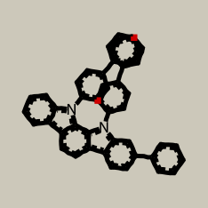 c1ccc(-c2ccc(-n3c4ccccc4c4ccc5c6ccc(-c7ccccc7)cc6n(-c6ccc(-c7ccccc7)cc6)c5c43)cc2)cc1